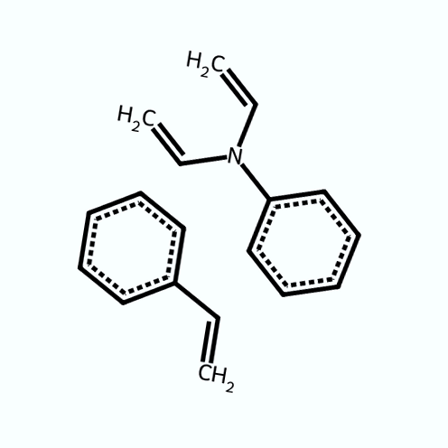 C=CN(C=C)c1ccccc1.C=Cc1ccccc1